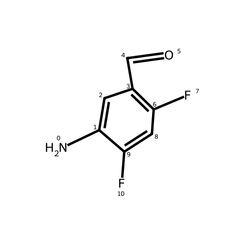 Nc1cc(C=O)c(F)cc1F